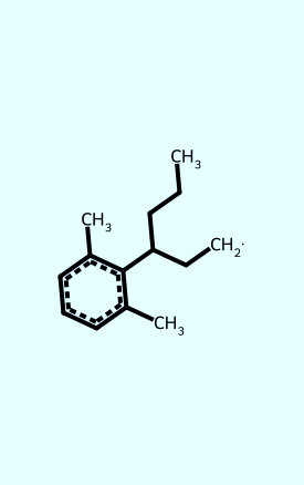 [CH2]CC(CCC)c1c(C)cccc1C